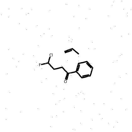 C=CC.O=C(CCC(F)Cl)c1ccccc1